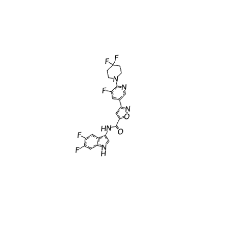 O=C(Nc1c[nH]c2cc(F)c(F)cc12)c1cc(-c2cnc(N3CCC(F)(F)CC3)c(F)c2)no1